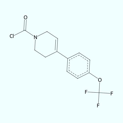 O=C(Cl)N1CC=C(c2ccc(OC(F)(F)F)cc2)CC1